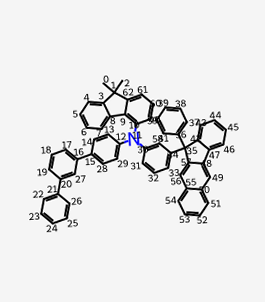 CC1(C)c2ccccc2-c2c(N(c3ccc(-c4cccc(-c5ccccc5)c4)cc3)c3cccc(C4(c5ccccc5)c5ccccc5-c5cc6ccccc6cc54)c3)cccc21